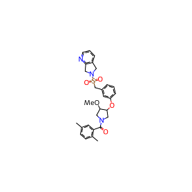 COC1CN(C(=O)c2cc(C)ccc2C)CC1Oc1cccc(CS(=O)(=O)N2Cc3cccnc3C2)c1